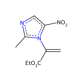 C=C(C(=O)OCC)n1c([N+](=O)[O-])cnc1C